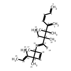 C=C/C=C\C(=C)C(C)(C)C(C)(CC)/C(F)=N/C1(C)C=CC1(C)/C(C)=C/C